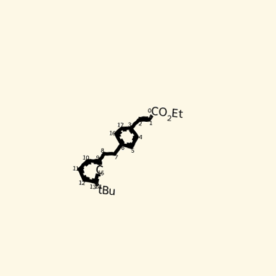 CCOC(=O)/C=C/c1ccc(CCc2cccc(C(C)(C)C)c2)cc1